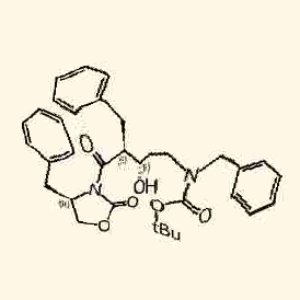 CC(C)(C)OC(=O)N(Cc1ccccc1)C[C@H](O)[C@H](Cc1ccccc1)C(=O)N1C(=O)OC[C@H]1Cc1ccccc1